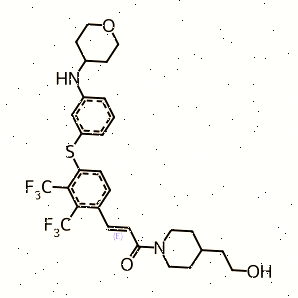 O=C(/C=C/c1ccc(Sc2cccc(NC3CCOCC3)c2)c(C(F)(F)F)c1C(F)(F)F)N1CCC(CCO)CC1